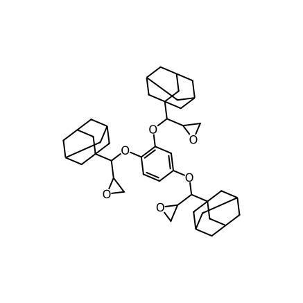 c1cc(OC(C2CO2)C23CC4CC(CC(C4)C2)C3)c(OC(C2CO2)C23CC4CC(CC(C4)C2)C3)cc1OC(C1CO1)C12CC3CC(CC(C3)C1)C2